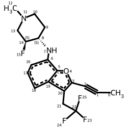 CC#Cc1oc2c(N[C@H]3CCN(C)C[C@@H]3F)cccc2c1CC(F)(F)F